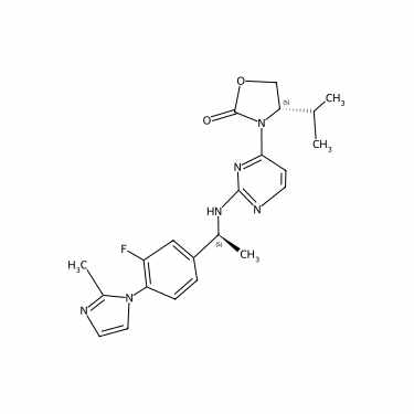 Cc1nccn1-c1ccc([C@H](C)Nc2nccc(N3C(=O)OC[C@@H]3C(C)C)n2)cc1F